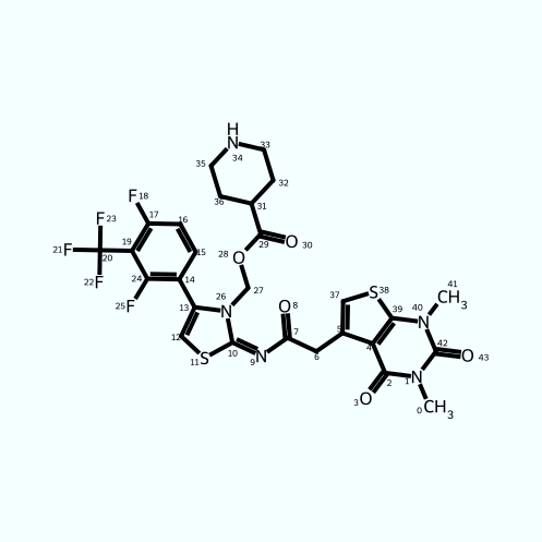 Cn1c(=O)c2c(CC(=O)N=c3scc(-c4ccc(F)c(C(F)(F)F)c4F)n3COC(=O)C3CCNCC3)csc2n(C)c1=O